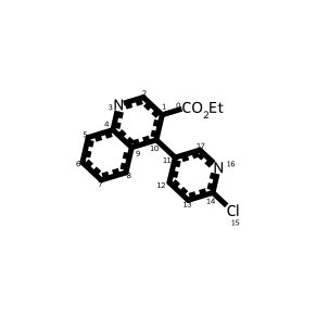 CCOC(=O)c1cnc2ccccc2c1-c1ccc(Cl)nc1